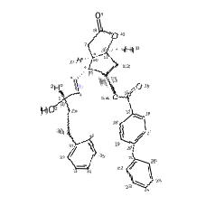 [2H][C@@](O)(/C=C/[C@@H]1[C@H]2CC(=O)O[C@H]2C[C@H]1OC(=O)c1ccc(-c2ccccc2)cc1)CCc1ccccc1